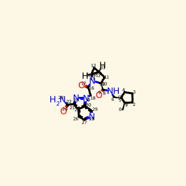 C[C@@H]1CCC[C@@H]1CNC(=O)[C@@H]1C[C@H]2C[C@H]2N1C(=O)Cn1nc(C(N)=O)c2ccncc21